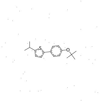 CC(C)c1ccc(-c2ccc(OC(C)(C)C)cc2)s1